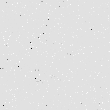 CC(C)C(NS(=O)(=O)c1ccc2c(c1)oc1ccc(C3CCCC3)cc12)C(=O)O